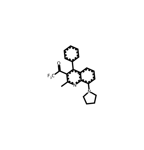 Cc1nc2c(N3CCCC3)cccc2c(-c2ccccc2)c1C(=O)C(F)(F)F